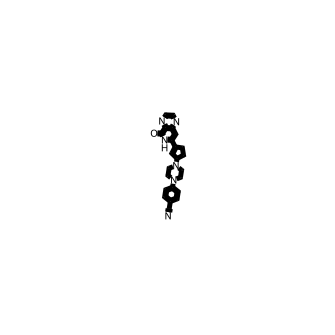 N#Cc1ccc(N2CCN(C3C=C(c4cc5nccnc5c(=O)[nH]4)CC3)CC2)cc1